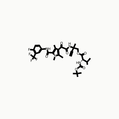 C#CC(C)(COC(=O)[C@@H](NC(=O)OC(C)(C)C)C(C)C)NC(=O)C(=O)c1c(C)c(C(=O)Nc2ccc(F)c(C(F)(F)F)c2)n(C)c1C